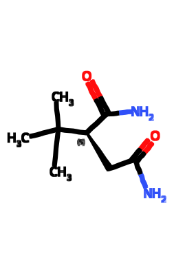 CC(C)(C)[C@H](CC(N)=O)C(N)=O